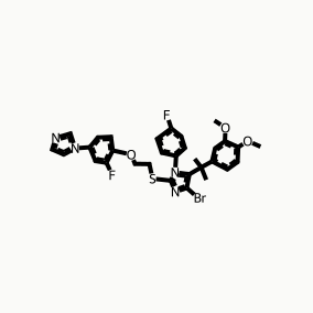 COc1ccc(C(C)(C)c2c(Br)nc(SCCOc3ccc(-n4ccnc4)cc3F)n2-c2ccc(F)cc2)cc1OC